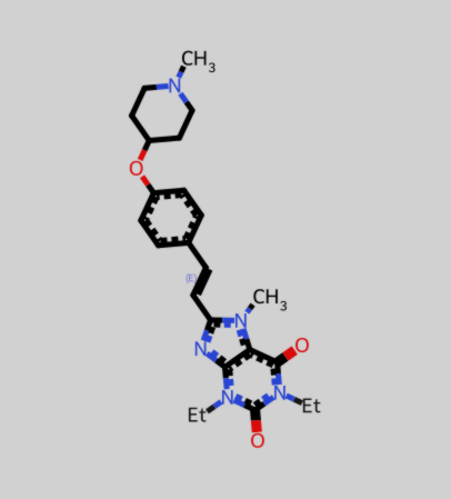 CCn1c(=O)c2c(nc(/C=C/c3ccc(OC4CCN(C)CC4)cc3)n2C)n(CC)c1=O